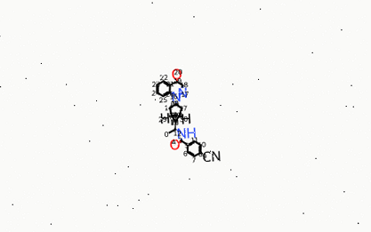 CC(NC(=O)c1ccc(C#N)cc1)[C@H]1[C@@H]2C[C@@H](n3ncc(=O)c4ccccc43)C[C@@H]21